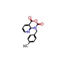 N#Cc1ccc(Cn2c(=O)oc(=O)c3cccnc32)cc1